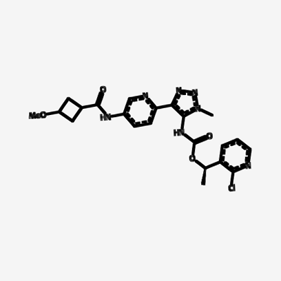 COC1CC(C(=O)Nc2ccc(-c3nnn(C)c3NC(=O)O[C@H](C)c3cccnc3Cl)nc2)C1